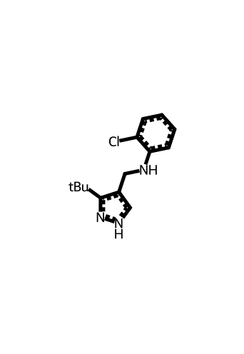 CC(C)(C)c1n[nH]cc1CNc1ccccc1Cl